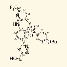 CC(C)(C)c1ccc(S(=O)(=O)N2Cc3ccc(C(F)(F)F)nc3Nc3ccc(-c4nnc(CO)s4)cc32)cc1